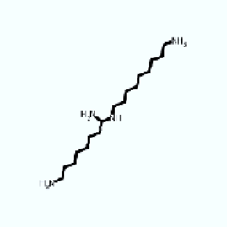 NCCCCCCCCCNC(N)CCCCCCCN